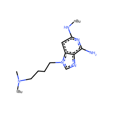 CCCCNc1cc2c(ncn2CCCCN(C)C(C)(C)C)c(N)n1